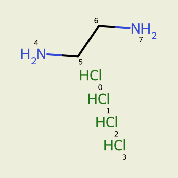 Cl.Cl.Cl.Cl.NCCN